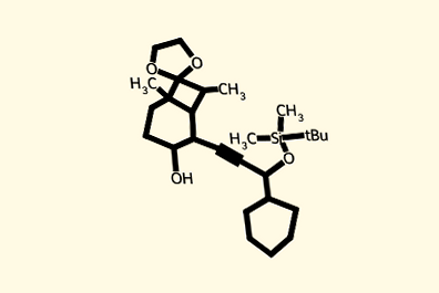 CC1C2C(C#CC(O[Si](C)(C)C(C)(C)C)C3CCCCC3)C(O)CCC2(C)C12OCCO2